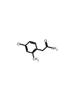 Cc1cc(Cl)ccc1CC(N)=O